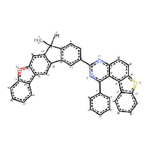 CC(C)C1(C)c2ccc(-c3nc(-c4ccccc4)c4c(ccc5sc6ccccc6c54)n3)cc2-c2cc3c(cc21)oc1ccccc13